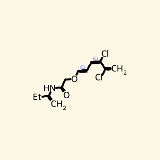 C=C(CC)NC(=O)CO/C=C/C=C(/Cl)C(=C)Cl